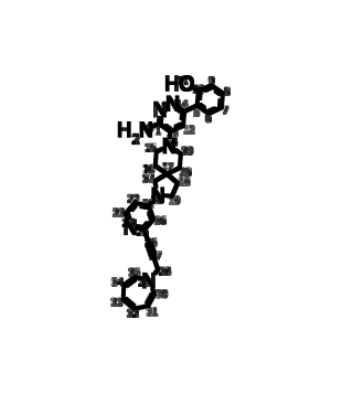 Nc1nnc(-c2ccccc2O)cc1N1CCC2(CCN(c3ccnc(C#CCN4C=CC=CC=C4)c3)C2)CC1